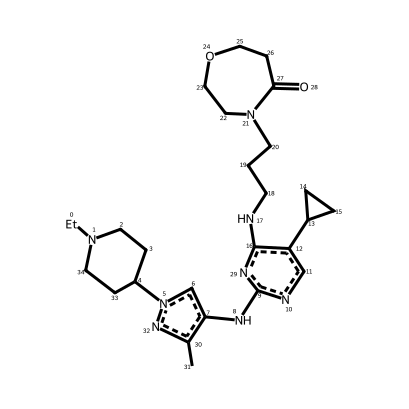 CCN1CCC(n2cc(Nc3ncc(C4CC4)c(NCCCN4CCOCCC4=O)n3)c(C)n2)CC1